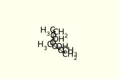 C=C(C)COCC(O)COCC(C)OCC(O)COCC(=C)C